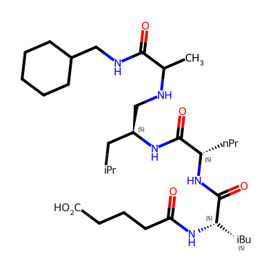 CCC[C@H](NC(=O)[C@@H](NC(=O)CCCC(=O)O)[C@@H](C)CC)C(=O)N[C@H](CNC(C)C(=O)NCC1CCCCC1)CC(C)C